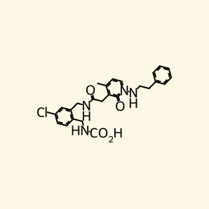 Cc1ccn(NCCc2ccccc2)c(=O)c1CC(=O)NCc1cc(Cl)ccc1CNC(=O)O